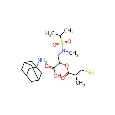 CC(C)S(=O)(=O)N(C)CC(OC(=O)[C@H](C)CS)C(=O)O.NC12CC3CC(CC(C3)C1)C2